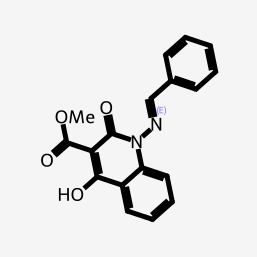 COC(=O)c1c(O)c2ccccc2n(/N=C/c2ccccc2)c1=O